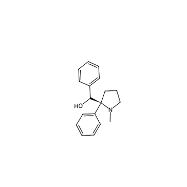 CN1CCC[C@]1(c1ccccc1)C(O)c1ccccc1